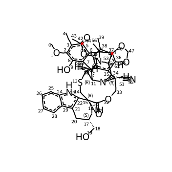 COc1c(C)cc2c(c1O)[C@H]1[C@@H]3[C@@H]4SC[C@]5(N[C@H](CO)Cc6c5[nH]c5ccccc65)C(=O)OC[C@@H](c5c6c(c(C)c(OC(C)=O)c54)OCO6)N3[C@@H](C#N)[C@@H]3CC2(C)N31